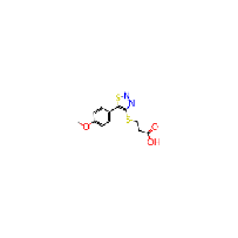 COc1ccc(-c2snnc2SCCC(=O)O)cc1